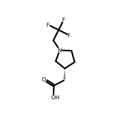 O=C(O)C[C@H]1CCN(CC(F)(F)F)C1